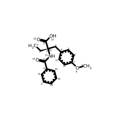 CC[C@@](Cc1ccc(OC)cc1)(NC(=O)c1ccccc1)C(=O)O